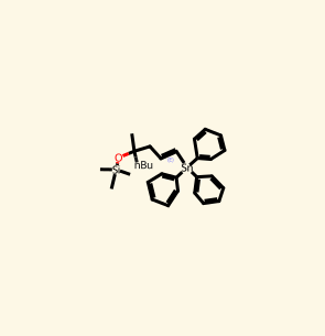 CCCCC(C)(C/C=[CH]/[Sn]([c]1ccccc1)([c]1ccccc1)[c]1ccccc1)O[Si](C)(C)C